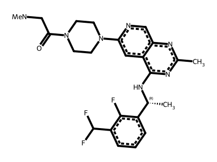 CNCC(=O)N1CCN(c2cc3c(N[C@H](C)c4cccc(C(F)F)c4F)nc(C)nc3cn2)CC1